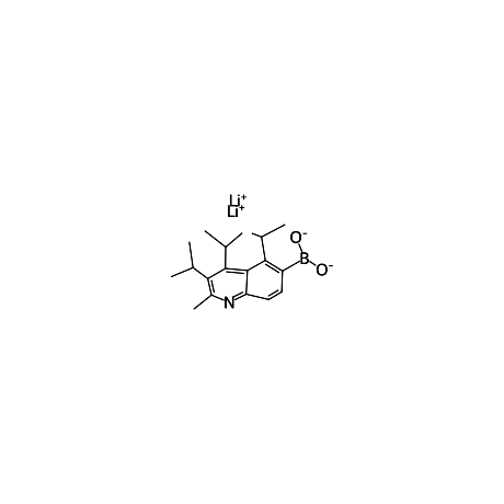 Cc1nc2ccc(B([O-])[O-])c(C(C)C)c2c(C(C)C)c1C(C)C.[Li+].[Li+]